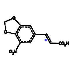 O=C(O)/C=C/c1cc2c(c([N+](=O)[O-])c1)OCO2